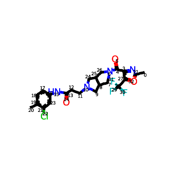 Cc1nc(C(=O)N2CC3CN(CCC(=O)Nc4ccc(C)c(Cl)c4)CC3C2)c(C(F)(F)F)o1